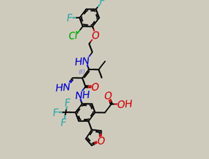 CC(C)/C(NCCOc1cc(F)cc(F)c1Cl)=C(/C=N)C(=O)Nc1cc(CC(=O)O)c(-c2ccoc2)cc1C(F)(F)F